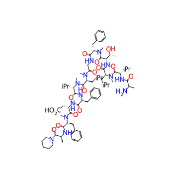 CC(C)C[C@@H](C(=O)N(C)[C@H](C(=O)N[C@@H](Cc1ccccc1)C(=O)N[C@@H](CC(=O)O)C(=O)N(C)[C@@H](Cc1ccccc1)C(=O)N[C@@H](C)C(=O)N1CCCCC1)C(C)C)N(C)C(=O)CNC(=O)[C@H](Cc1ccccc1)N(C)C(=O)[C@@H](NC(=O)[C@H](CC(C)C)N(C)C(=O)[C@@H](NC(=O)C(C)N)C(C)C)[C@@H](C)O